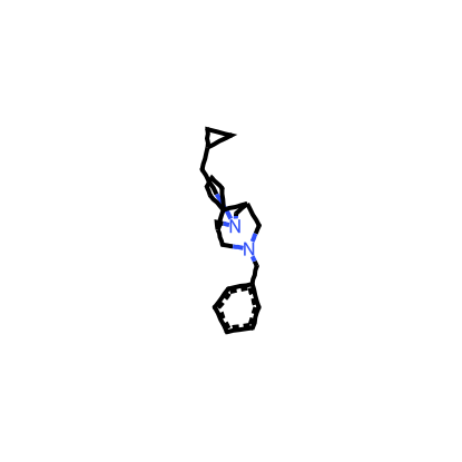 c1ccc(CN2CC3CN(CC4CC4)CC(C2)C32CCCC2)cc1